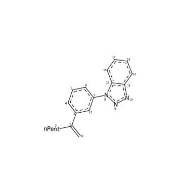 C=C(CCCCC)c1cccc(-n2nnc3ccccc32)c1